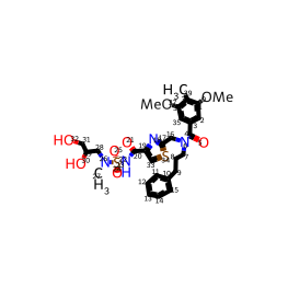 COc1cc(C(=O)N(CCCc2ccccc2)Cc2nc(C(=O)NS(=O)(=O)N(C)CC(O)CO)cs2)cc(OC)c1C